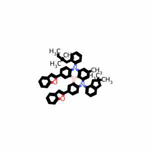 CCC(C)(C)Cc1ccccc1N1c2ccc(-c3cc4ccccc4o3)cc2B2c3cc(-c4cc5ccccc5o4)ccc3N(c3cccc4c3CC(C)(C)C4)c3cc(C)cc1c32